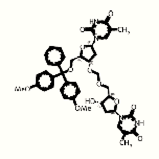 COc1ccc(C(OC[C@H]2O[C@@H](n3cc(C)c(=O)[nH]c3=O)C[C@@H]2OCOC[C@H]2O[C@@H](n3cc(C)c(=O)[nH]c3=O)C[C@@H]2O)(c2ccccc2)c2ccc(OC)cc2)cc1